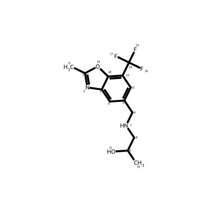 Cc1nc2cc(CNCC(C)O)cc(C(F)(F)F)c2o1